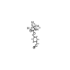 CC(C)(C)NC(=O)OCC1CCC(C=C=O)CC1